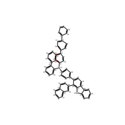 c1ccc(-c2ccc(-c3ccc(N(c4ccc(-c5ccc6c(oc7ccccc76)c5-c5ccc6ccccc6c5)cc4)c4ccccc4-c4ccccc4)cc3)cc2)cc1